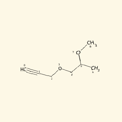 C#CCOCC(C)OC